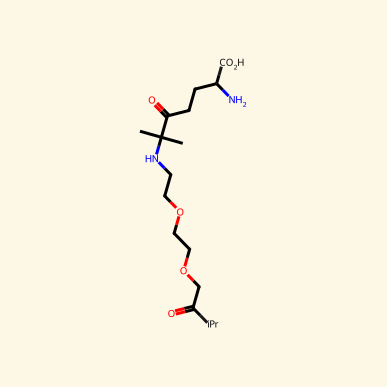 CC(C)C(=O)COCCOCCNC(C)(C)C(=O)CCC(N)C(=O)O